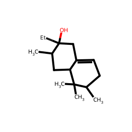 CCC1(O)CC2=CCC(C)C(C)(C)C2CC1C